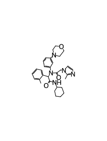 Cc1ccccc1C(C(=O)NC1CCCCC1)N(C(=O)Cn1ccnc1C)c1cccc(N2CCOCC2)c1